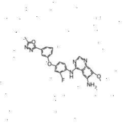 COc1cc2ncnc(Nc3ccc(Oc4cccc(-c5nnc(C)o5)c4)cc3F)c2cc1N